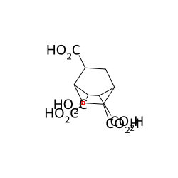 O=C(O)C1CC2C(C(=O)O)C(C(=O)O)C1C(C(=O)O)C2C(=O)O